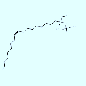 CCCCCCCC/C=C\CCCCCCCC[N+](C)(CC)OC(C)(O)O.[Cl-]